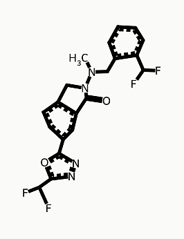 CN(Cc1ccccc1C(F)F)N1Cc2ccc(-c3nnc(C(F)F)o3)cc2C1=O